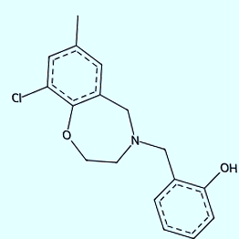 Cc1cc(Cl)c2c(c1)CN(Cc1ccccc1O)CCO2